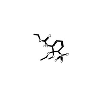 CCOC(=O)NC1=CC=CC(S(=O)(=O)Cl)C1(OC)OCC